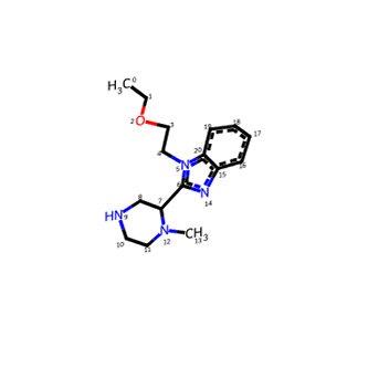 CCOCCn1c(C2CNCCN2C)nc2ccccc21